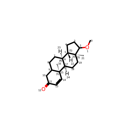 COC1CC[C@H]2[C@@H]3CCC4CC(=O)C=C[C@]4(C)[C@@H]3CC[C@]12C